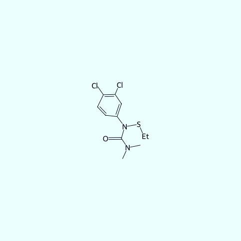 CCSN(C(=O)N(C)C)c1ccc(Cl)c(Cl)c1